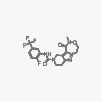 CN1OCCn2nc3c(c2C1=O)CN(C(=O)Nc1cc(C(F)(F)F)ccc1F)CC3